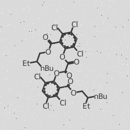 CCCCC(CC)COC(=O)c1c(Cl)c(Cl)cc(Cl)c1OC(=O)C(=O)Oc1c(Cl)cc(Cl)c(Cl)c1C(=O)OCC(CC)CCCC